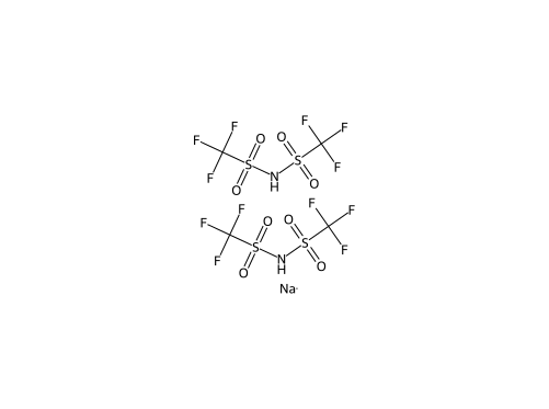 O=S(=O)(NS(=O)(=O)C(F)(F)F)C(F)(F)F.O=S(=O)(NS(=O)(=O)C(F)(F)F)C(F)(F)F.[Na]